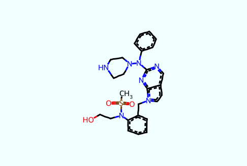 CS(=O)(=O)N(CCO)c1ccccc1Cn1ccc2cnc(N(c3ccccc3)N3CCNCC3)nc21